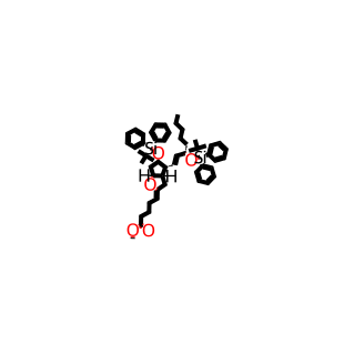 CCCCC[C@@H](/C=C/[C@@H]1[C@H]2C/C(=C/CCCC(=O)OC)O[C@H]2C[C@H]1O[Si](c1ccccc1)(c1ccccc1)C(C)(C)C)O[Si](c1ccccc1)(c1ccccc1)C(C)(C)C